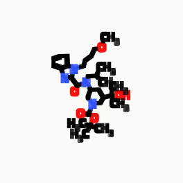 COCCCCn1c(C(=O)N(CC(C)C)C2CC(C(C)(C)O)CN(C(=O)OC(C)(C)C)C2)nc2ccccc21